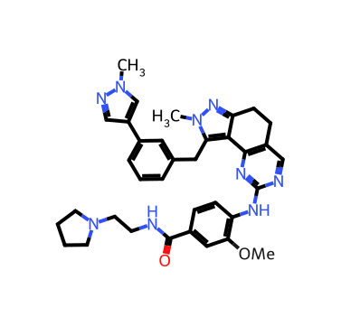 COc1cc(C(=O)NCCN2CCCC2)ccc1Nc1ncc2c(n1)-c1c(nn(C)c1Cc1cccc(-c3cnn(C)c3)c1)CC2